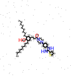 CCCCCCCCCc1cc(/C=C/C(=O)N2CCN(c3ccc(NC(=N)c4cccs4)cc3)CC2)cc(CCCCCCCCC)c1O